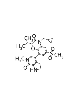 CC(C)C1Oc2c(-c3cn(C)c(=O)c4c3CCN4)cc(S(C)(=O)=O)cc2N(CC2CC2)C1=O